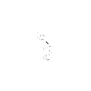 O=C(C#Cc1ccc(F)nc1)NNc1cnccn1